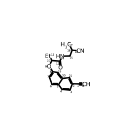 C#Cc1ccc2ccc(OC(CC)C(=O)NCC(C)C#N)cc2c1